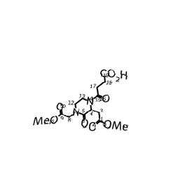 COC(=O)C[C@H]1C(=O)N(CC(=O)OC)CCN1C(=O)CCC(=O)O